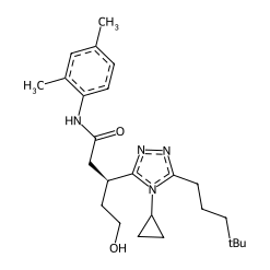 Cc1ccc(NC(=O)C[C@H](CCO)c2nnc(CCCC(C)(C)C)n2C2CC2)c(C)c1